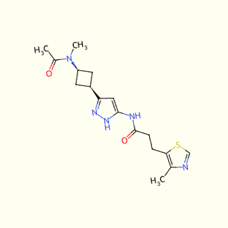 CC(=O)N(C)[C@H]1C[C@@H](c2cc(NC(=O)CCc3scnc3C)[nH]n2)C1